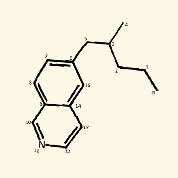 CCCC(C)Cc1ccc2cnccc2c1